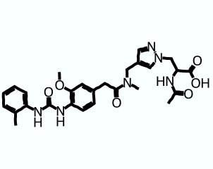 COc1cc(CC(=O)N(C)Cc2cnn(CC(NC(C)=O)C(=O)O)c2)ccc1NC(=O)Nc1ccccc1C